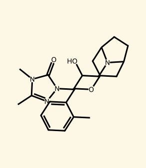 Cc1ccccc1COC1CC2CCC(C1)N2CC(O)Cn1nc(C)n(C)c1=O